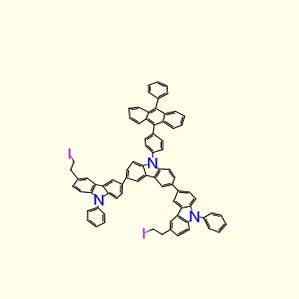 ICCc1ccc2c(c1)c1cc(-c3ccc4c(c3)c3cc(-c5ccc6c(c5)c5cc(CCI)ccc5n6-c5ccccc5)ccc3n4-c3ccc(-c4c5ccccc5c(-c5ccccc5)c5ccccc45)cc3)ccc1n2-c1ccccc1